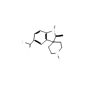 C=C1N(C)c2ccc(C(F)F)cc2C12CCN(C(C)C)CC2